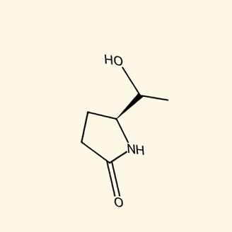 CC(O)[C@@H]1CCC(=O)N1